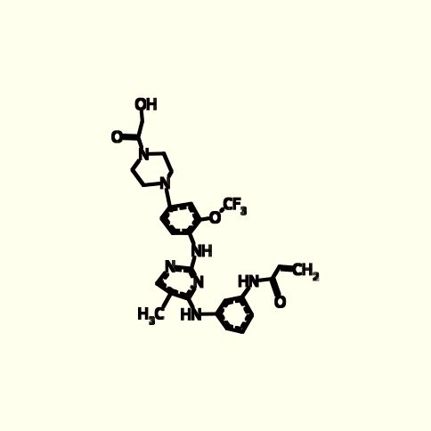 C=CC(=O)Nc1cccc(Nc2nc(Nc3ccc(N4CCN(C(=O)CO)CC4)cc3OC(F)(F)F)ncc2C)c1